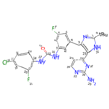 CC(C)(C)c1nc(-c2cc(F)cc(NC(=O)Nc3ccc(Cl)cc3F)c2)c(-c2ccnc(N)n2)[nH]1